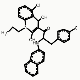 CCCN1C(O)=C(C(=O)C(Cc2ccc(Cl)cc2)Nc2ccc3ccccc3c2)C(O)c2c(Cl)cccc21